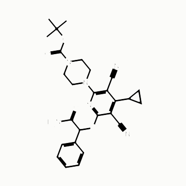 CC(C)(C)OC(=O)N1CCN(c2nc(SC(C(N)=O)c3ccccc3)c(C#N)c(C3CC3)c2C#N)CC1